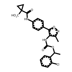 Cc1noc(-c2ccc(NC(=O)C3(C(=O)O)CC3)cc2)c1NC(=O)OC(C)c1ccccc1Cl